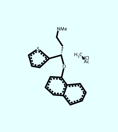 CC(C)=O.CNCC[C@H](Oc1cccc2ccccc12)c1cccs1.Cl